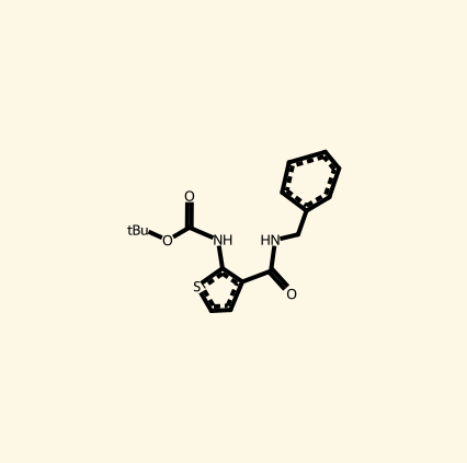 CC(C)(C)OC(=O)Nc1sccc1C(=O)NCc1ccccc1